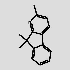 Cc1ccc2c(n1)C(C)(C)c1ccccc1-2